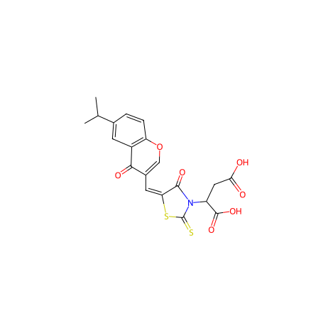 CC(C)c1ccc2occ(/C=C3/SC(=S)N(C(CC(=O)O)C(=O)O)C3=O)c(=O)c2c1